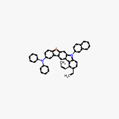 C=Cc1ccc2c(c1/C=C\C)c1cc3c(cc1n2-c1ccc2ccccc2c1)sc1ccc(N(c2ccccc2)c2ccccc2)cc13